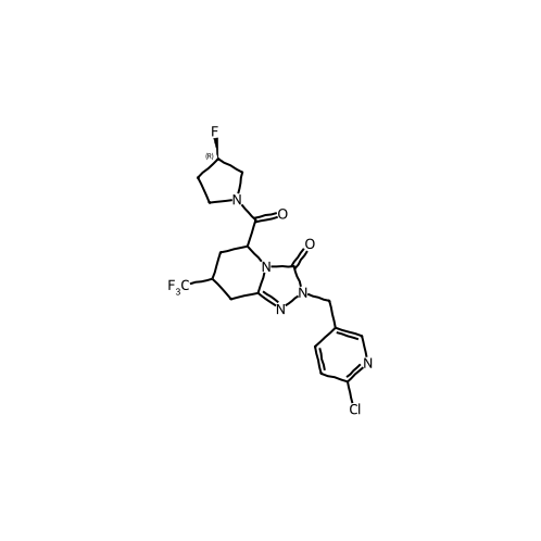 O=C(C1CC(C(F)(F)F)Cc2nn(Cc3ccc(Cl)nc3)c(=O)n21)N1CC[C@@H](F)C1